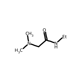 [CH2]CNC(=O)CN(C)C